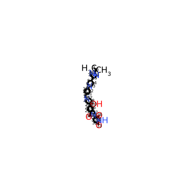 CC(C)c1ncc(C2CCN(c3ccc(CN4CCC(O)(c5ccc6c(c5)CN(C5CCC(=O)NC5=O)C6=O)CC4)cc3)CC2)cn1